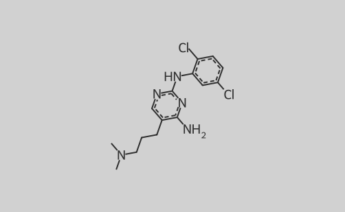 CN(C)CCCc1cnc(Nc2cc(Cl)ccc2Cl)nc1N